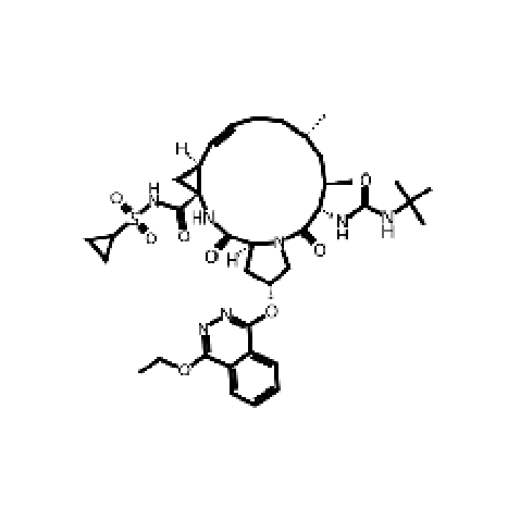 CCOc1nnc(O[C@@H]2C[C@H]3C(=O)N[C@]4(C(=O)NS(=O)(=O)C5CC5)C[C@H]4/C=C\CC[C@H](C)C[C@@H](C)[C@H](NC(=O)NC(C)(C)C)C(=O)N3C2)c2ccccc12